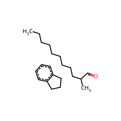 CCCCCCCCCC(C)C=O.c1ccc2c(c1)CCC2